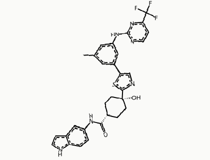 Cc1cc(Nc2nccc(C(F)(F)F)n2)cc(-c2cnc([C@]3(O)CC[C@@H](C(=O)Nc4ccc5[nH]ccc5c4)CC3)s2)c1